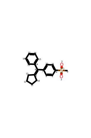 CS(=O)(=O)c1ccc(C(=C2CCCC2)c2ccccc2)cc1